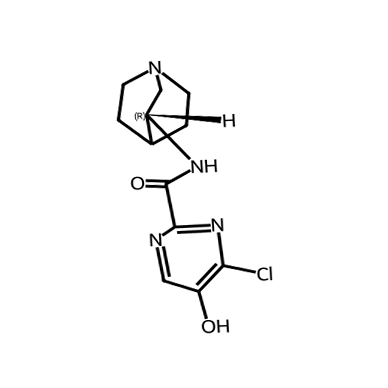 O=C(N[C@H]1CN2CCC1CC2)c1ncc(O)c(Cl)n1